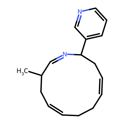 CC1C=NC(c2cccnc2)CC=CCCC=CC1